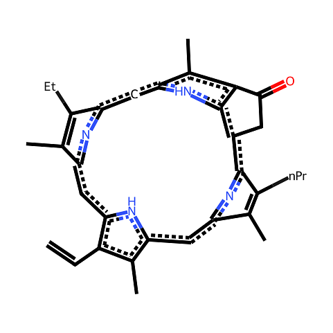 C=Cc1c(C)c2cc3nc(c4c5[nH]c(cc6nc(cc1[nH]2)C(C)=C6CC)c(C)c5C(=O)C4)C(CCC)=C3C